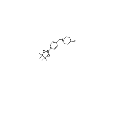 CC1(C)OB(c2ccc(CN3CCC(F)CC3)cc2)OC1(C)C